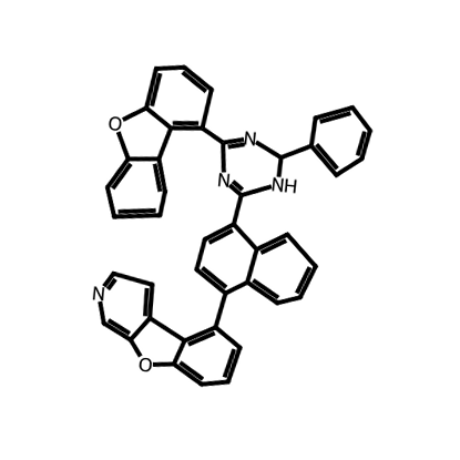 c1ccc(C2N=C(c3cccc4oc5ccccc5c34)N=C(c3ccc(-c4cccc5oc6cnccc6c45)c4ccccc34)N2)cc1